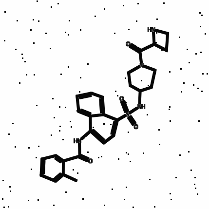 Cc1ccccc1C(=O)Nc1ccc(S(=O)(=O)NC2CCN(C(=O)C3CCN3)CC2)c2ccccc12